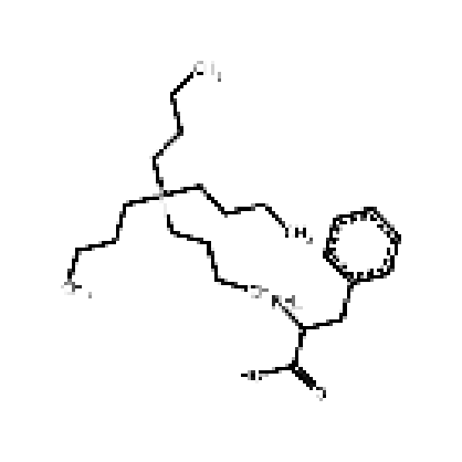 CCCC[PH](CCCC)(CCCC)CCCC.NC(Cc1ccccc1)C(=O)O